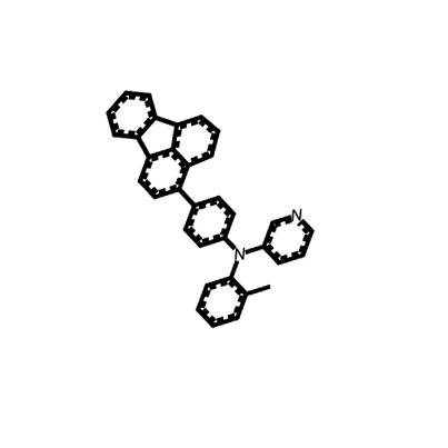 Cc1ccccc1N(c1ccc(-c2ccc3c4c(cccc24)-c2ccccc2-3)cc1)c1cccnc1